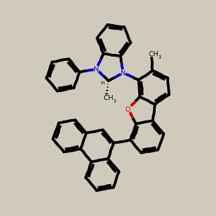 Cc1ccc2c(oc3c(-c4cc5ccccc5c5ccccc45)cccc32)c1N1c2ccccc2N(c2ccccc2)[C@H]1C